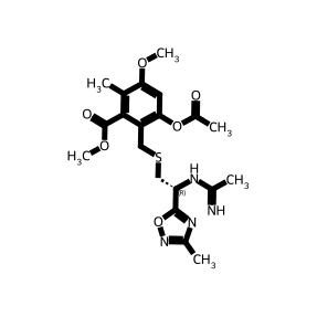 COC(=O)c1c(C)c(OC)cc(OC(C)=O)c1CSC[C@H](NC(C)=N)c1nc(C)no1